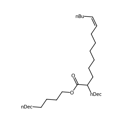 CCCC/C=C\CCCCCCC(CCCCCCCCCC)C(=O)OCCCCCCCCCCCCCC